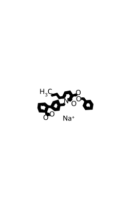 CCCCc1ccc(C(=O)OCc2ccccc2)c(=O)n1Cc1ccc(-c2ccccc2C(=O)[O-])cc1.[Na+]